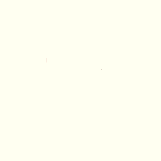 C/C1=C/C(C(F)(F)F)=C\CCC=C1